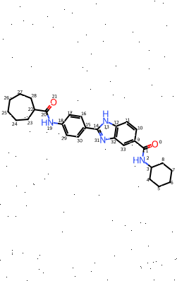 O=C(NC1CCCCC1)c1ccc2[nH]c(-c3ccc(NC(=O)C4CCCCCC4)cc3)nc2c1